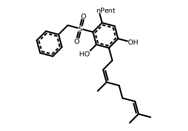 CCCCCc1cc(O)c(CC=C(C)CCC=C(C)C)c(O)c1S(=O)(=O)Cc1ccccc1